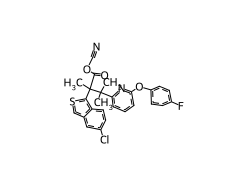 CC(C)(c1cccc(Oc2ccc(F)cc2)n1)C(C)(C(=O)OC#N)c1scc2cc(Cl)ccc12